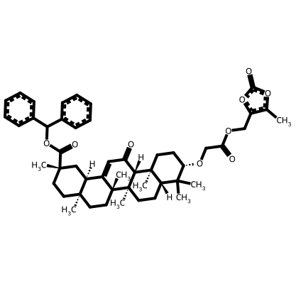 Cc1oc(=O)oc1COC(=O)CO[C@H]1CC[C@]2(C)[C@H]3C(=O)C=C4[C@@H]5C[C@@](C)(C(=O)OC(c6ccccc6)c6ccccc6)CC[C@]5(C)CC[C@@]4(C)[C@]3(C)CC[C@H]2C1(C)C